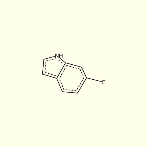 Fc1ccc2c[c][nH]c2c1